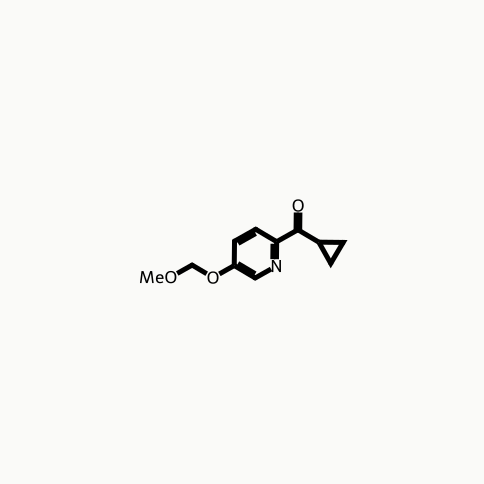 COCOc1ccc(C(=O)C2CC2)nc1